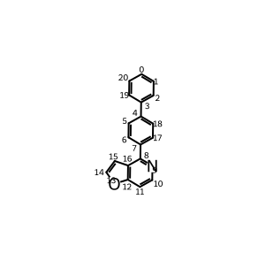 c1ccc(-c2ccc(-c3nccc4occc34)cc2)cc1